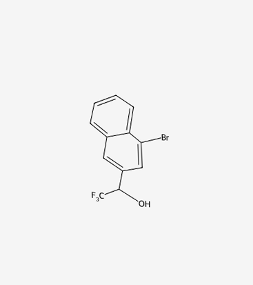 OC(c1cc(Br)c2ccccc2c1)C(F)(F)F